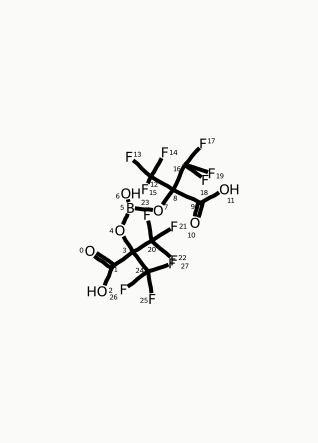 O=C(O)C(OB(O)OC(C(=O)O)(C(F)(F)F)C(F)(F)F)(C(F)(F)F)C(F)(F)F